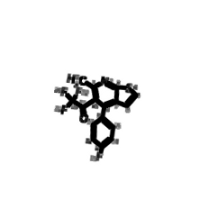 Cc1nc2sccc2c(-c2ccc(F)cc2)c1C(=O)C(F)(F)F